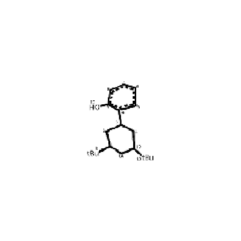 CC(C)(C)C1CC(c2ccccc2O)CC(C(C)(C)C)C1